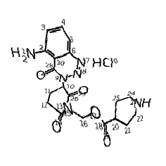 Cl.Nc1cccc2nnn(C3CCC(=O)N(COC(=O)C4CCNCC4)C3=O)c(=O)c12